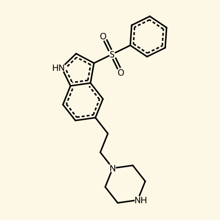 O=S(=O)(c1ccccc1)c1c[nH]c2ccc(CCN3CCNCC3)cc12